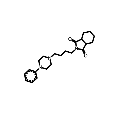 O=C1C2CCCCC2C(=O)N1CCCCN1CCN(c2ccccc2)CC1